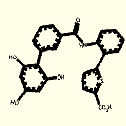 O=C(Nc1ccccc1-c1ccc(C(=O)O)s1)c1cccc(-c2c(O)cc(O)cc2O)c1